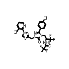 CC(F)(F)C(=O)NC(Cn1c(-c2ccc(Cl)cc2)nn(Cc2ncn(-c3ncccc3Cl)n2)c1=O)C(F)(F)F